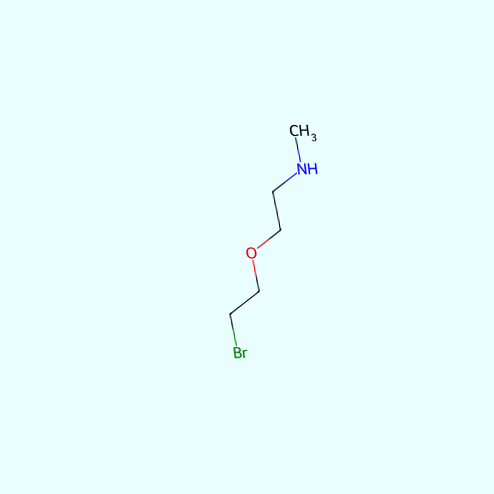 CNCCOCCBr